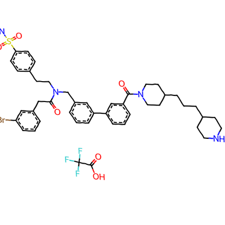 NS(=O)(=O)c1ccc(CCN(Cc2cccc(-c3cccc(C(=O)N4CCC(CCCC5CCNCC5)CC4)c3)c2)C(=O)Cc2cccc(Br)c2)cc1.O=C(O)C(F)(F)F